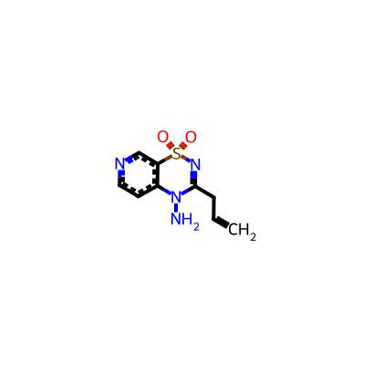 C=CCC1=NS(=O)(=O)c2cnccc2N1N